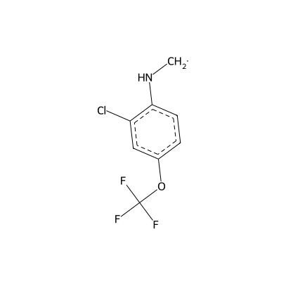 [CH2]Nc1ccc(OC(F)(F)F)cc1Cl